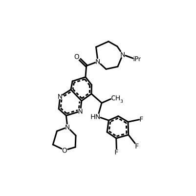 CC(Nc1cc(F)c(F)c(F)c1)c1cc(C(=O)N2CCCN(C(C)C)CC2)cc2ncc(N3CCOCC3)nc12